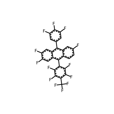 Fc1ccc2c(-c3c(F)c(F)c(C(F)(F)F)c(F)c3F)c3cc(F)c(F)cc3c(-c3cc(F)c(F)c(F)c3)c2c1